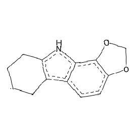 [CH]1CCc2[nH]c3c4c(ccc3c2C1)OCO4